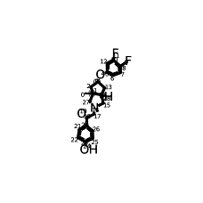 C[C@@]12C[C@H](Oc3ccc(F)c(F)c3)C[C@@H]1CN(CC(=O)c1ccc(O)cc1)C2